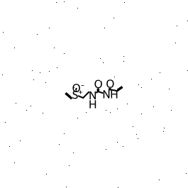 C=CC(=O)NC(=O)NCC[S+]([O-])C=C